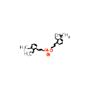 CCc1cccc(/C=C/CO[PH](=O)OC/C=C/c2cccc(CC)c2CC)c1CC